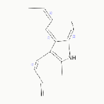 C=C/C=C\c1c(C)[nH]c(=C/C)/c1=C\C=C/C